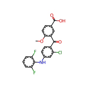 COc1ccc(C(=O)O)cc1C(=O)c1ccc(Nc2c(F)cccc2F)cc1Cl